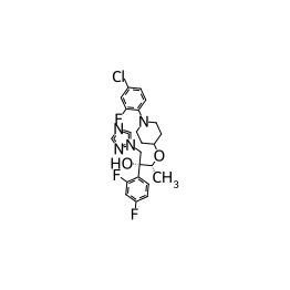 C[C@@H](OC1CCN(c2ccc(Cl)cc2F)CC1)[C@](O)(Cn1cncn1)c1ccc(F)cc1F